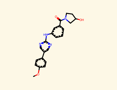 COc1ccc(-c2cnc(Nc3cccc(C(=O)N4CCC(O)C4)c3)nc2)cc1